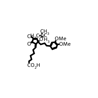 COc1ccc(CCCC2(O[Si](C)(C)C)C=C(Cl)C(=O)/C2=C\CCCCCC(=O)O)cc1OC